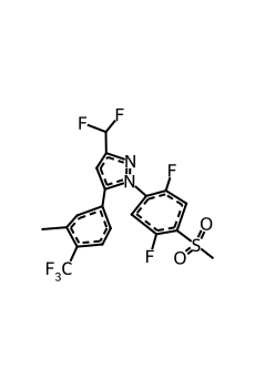 Cc1cc(-c2cc(C(F)F)nn2-c2cc(F)c(S(C)(=O)=O)cc2F)ccc1C(F)(F)F